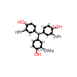 CCCc1cc(C(c2ccc(O)c(CCC)c2)c2ccc(O)c(OC)c2)ccc1O